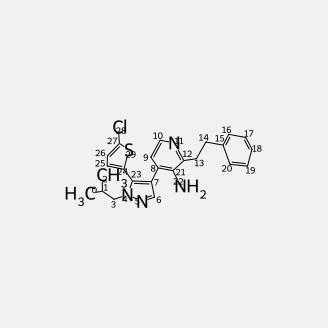 CC(C)Cn1ncc(-c2ccnc(CCc3ccccc3)c2N)c1-c1ccc(Cl)s1